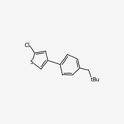 CC(C)(C)Cc1ccc(-c2csc(Cl)c2)cc1